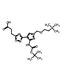 CC(C)(C)OC(=O)Nc1nn(COCC[Si](C)(C)C)cc1-c1noc(CCC(=O)O)n1